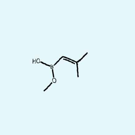 COB(O)C=C(C)C